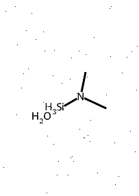 CN(C)[SiH3].O